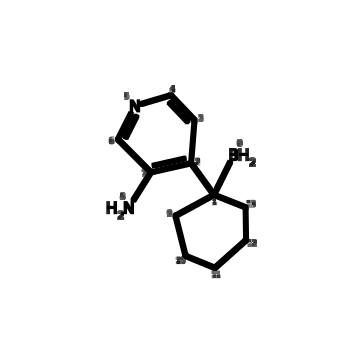 BC1(c2ccncc2N)CCCCC1